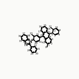 Cc1ccc2c(C3C=CC=CC3C)c3ccccc3c(C3=CC(C)C(n4c(-c5ccccc5)nc5ccccc54)C=C3)c2c1